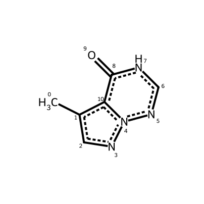 Cc1cnn2nc[nH]c(=O)c12